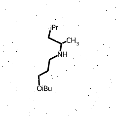 CC(C)COCCCNC(C)CC(C)C